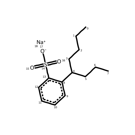 CCCCC(CCC)c1ccccc1S(=O)(=O)[O-].[Na+]